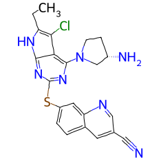 CCc1[nH]c2nc(Sc3ccc4cc(C#N)cnc4c3)nc(N3CC[C@H](N)C3)c2c1Cl